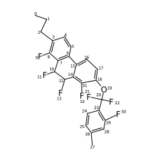 CCCc1ccc2c(c1F)C(F)C(F)c1c-2ccc(OC(F)(F)c2ccc(C)cc2F)c1F